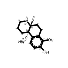 Br.Oc1ccc2c(c1O)CC[C@H]1NCCC[C@H]21